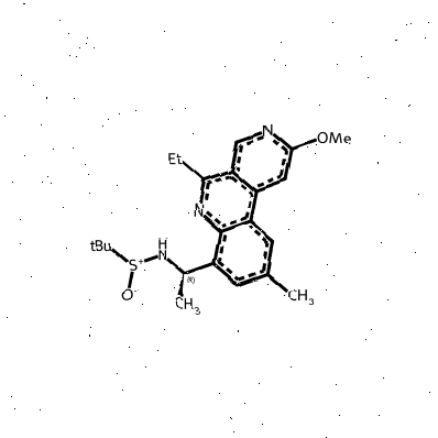 CCc1nc2c([C@@H](C)N[S+]([O-])C(C)(C)C)cc(C)cc2c2cc(OC)ncc12